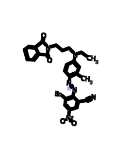 CCN(CCCN1C(=O)c2ccccc2C1=O)c1ccc(/N=N/c2c(Br)cc([N+](=O)[O-])cc2C#N)c(C)c1